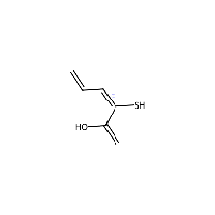 C=C/C=C(/S)C(=C)O